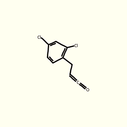 O=C=CCc1ccc(Cl)cc1Cl